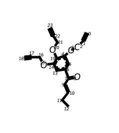 C#CCOc1cc(C(=O)/C=C/CC)cc(OCC#C)c1OCC#C